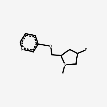 CN1CC(F)CC1COc1cccnc1